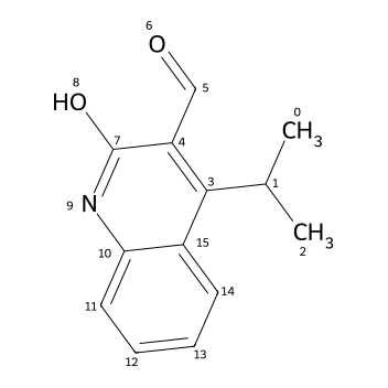 CC(C)c1c(C=O)c(O)nc2ccccc12